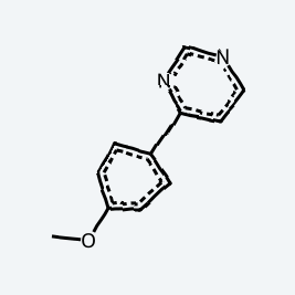 COc1ccc(-c2ccncn2)cc1